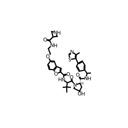 Cc1ncsc1-c1ccc(C(C)NC(=O)[C@@H]2C[C@@H](O)CN2C(=O)C(NC(=O)c2cc3cc(OCCNC(=O)C4CNC4)ccc3o2)C(C)(C)C)cc1